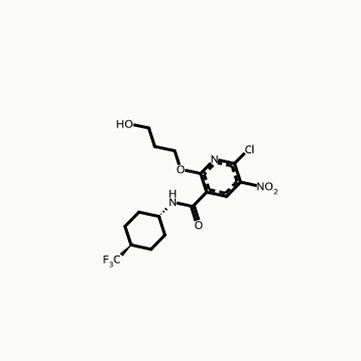 O=C(N[C@H]1CC[C@H](C(F)(F)F)CC1)c1cc([N+](=O)[O-])c(Cl)nc1OCCCO